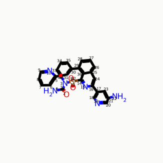 NC(=O)N(Cc1ccccn1)S(=O)(=O)c1nc(-c2cncc(N)c2)cc2cccc(-c3ccccc3)c12